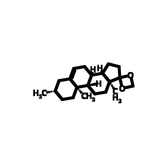 C[C@H]1CC[C@@]2(C)C(=CC[C@@H]3[C@@H]2CC[C@@]2(C)[C@H]3CCC23OCO3)C1